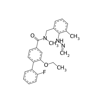 C=NNc1c(C)cccc1CN(C)C(=O)c1ccc(-c2ccccc2F)c(OCC)c1